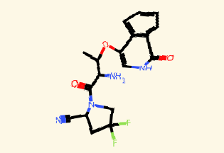 CC(Oc1c[nH]c(=O)c2ccccc12)C(N)C(=O)N1CC(F)(F)CC1C#N